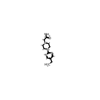 CCc1cnc(N2CCN(CC(N)=O)CC2)nc1